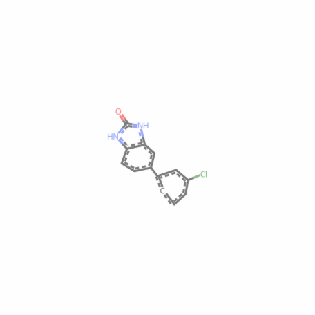 O=c1[nH]c2ccc(-c3cccc(Cl)c3)cc2[nH]1